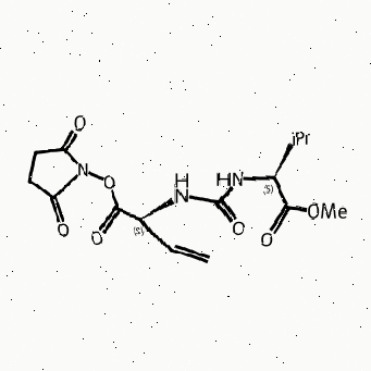 C=C[C@H](NC(=O)N[C@H](C(=O)OC)C(C)C)C(=O)ON1C(=O)CCC1=O